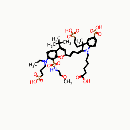 CCN(CCCS(=O)(=O)O)c1ccc2c(c1S(=O)(=O)NCCOC)OC(/C=C/C=C1/N(CCCCCC(=O)O)c3ccc(S(=O)(=O)O)cc3C1(C)CCCS(=O)(=O)O)C=C2C(C)(C)C